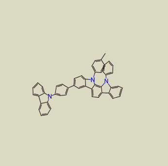 Cc1ccc(-n2c3ccc(-c4ccc(-n5c6ccccc6c6ccccc65)cc4)cc3c3ccc4c5ccccc5n(-c5ccccc5)c4c32)cc1